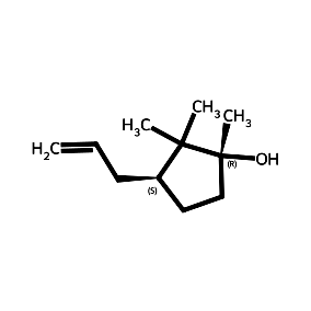 C=CC[C@@H]1CC[C@@](C)(O)C1(C)C